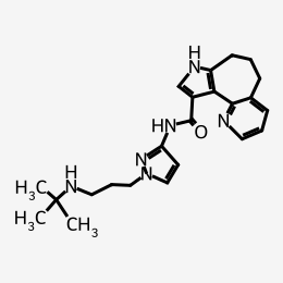 CC(C)(C)NCCCn1ccc(NC(=O)c2c[nH]c3c2-c2ncccc2CCC3)n1